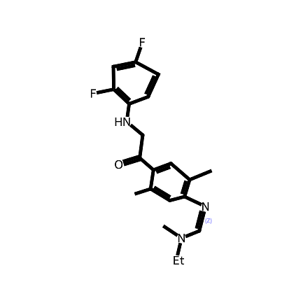 CCN(C)/C=N\c1cc(C)c(C(=O)CNc2ccc(F)cc2F)cc1C